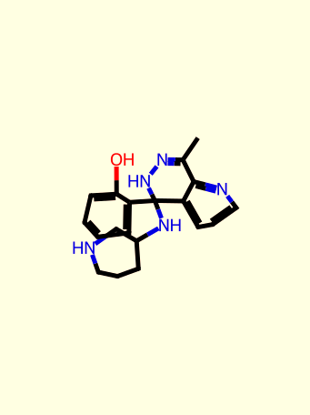 CC1=NNC(NC2CCCNC2)(c2ccccc2O)c2cccnc21